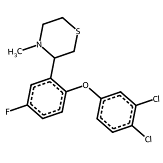 CN1CCSCC1c1cc(F)ccc1Oc1ccc(Cl)c(Cl)c1